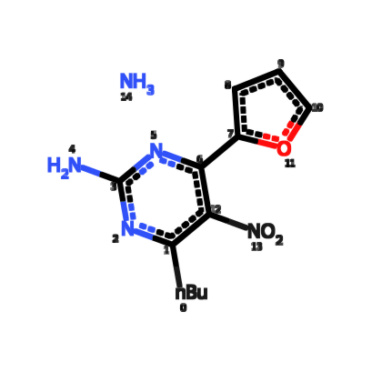 CCCCc1nc(N)nc(-c2ccco2)c1[N+](=O)[O-].N